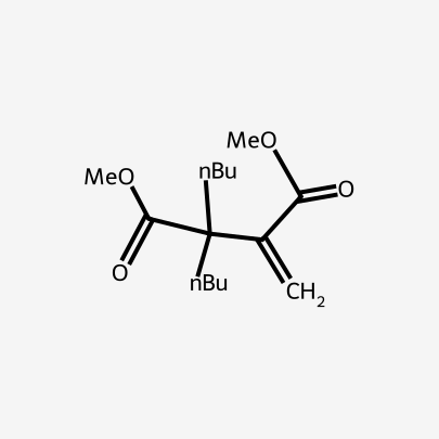 C=C(C(=O)OC)C(CCCC)(CCCC)C(=O)OC